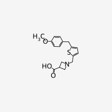 COc1ccc(Cc2ccc(CN3CC(C(=O)O)C3)s2)cc1